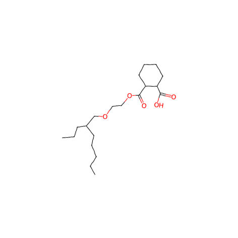 CCCCCC(CCC)COCCOC(=O)C1CCCCC1C(=O)O